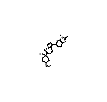 CNC1CCC(N)(c2ncc3c(-c4ccc5nc(C)n(C)c5n4)ccn3n2)CC1